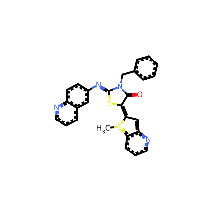 CS1=c2cccnc2=CC1=C1SC(=Nc2ccc3ncccc3c2)N(Cc2ccccc2)C1=O